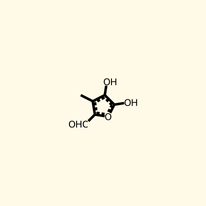 Cc1c(C=O)oc(O)c1O